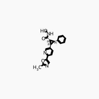 Cc1ncc(-c2ccc([C@H]3[C@H](C(=O)NO)[C@@H]3c3ccccc3)cn2)o1